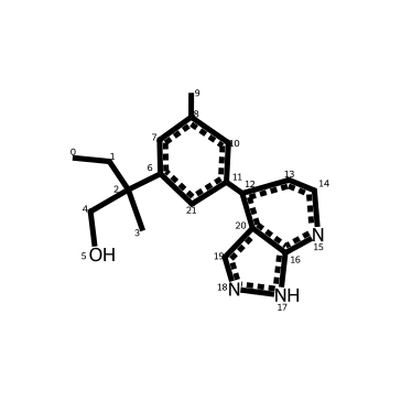 CCC(C)(CO)c1cc(C)cc(-c2ccnc3[nH]ncc23)c1